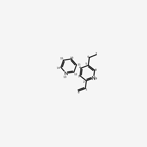 C=Cc1ccc(CC)cn1.c1ccncc1